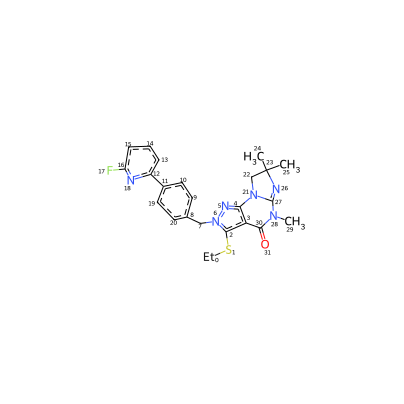 CCSc1c2c(nn1Cc1ccc(-c3cccc(F)n3)cc1)N1CC(C)(C)N=C1N(C)C2=O